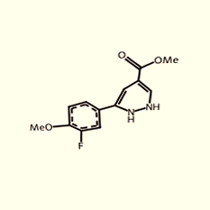 COC(=O)C1=CNNC(c2ccc(OC)c(F)c2)=C1